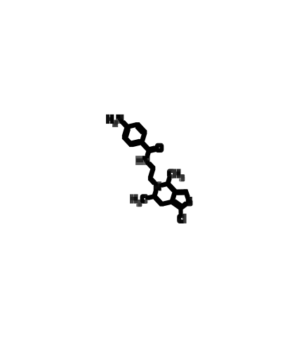 CC1Cc2c(csc2Cl)C(C)N1CCNC(=O)c1ccc(N)cc1